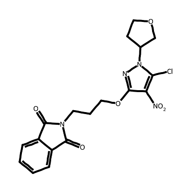 O=C1c2ccccc2C(=O)N1CCCOc1nn(C2CCOC2)c(Cl)c1[N+](=O)[O-]